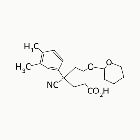 Cc1ccc(C(C#N)(CCOC2CCCCO2)CCC(=O)O)cc1C